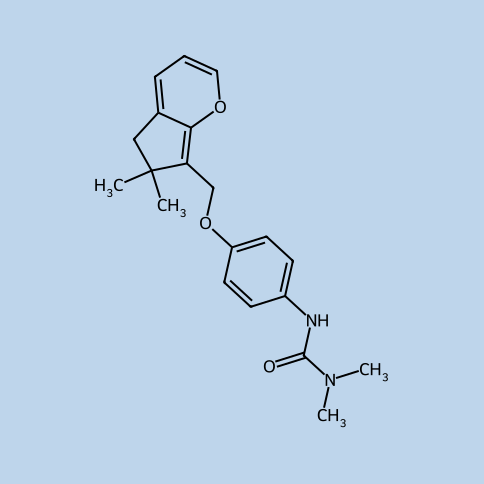 CN(C)C(=O)Nc1ccc(OCC2=C3OC=CC=C3CC2(C)C)cc1